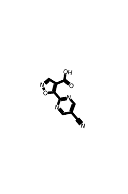 N#Cc1cnc(-c2oncc2C(=O)O)nc1